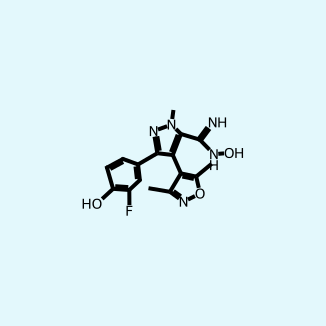 Cc1noc(C)c1-c1c(-c2ccc(O)c(F)c2)nn(C)c1C(=N)NO